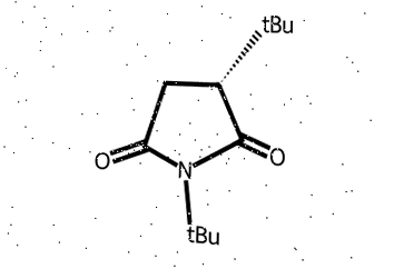 CC(C)(C)[C@H]1CC(=O)N(C(C)(C)C)C1=O